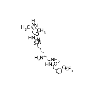 Cc1n[nH]c(C)c1CC(=O)Nc1nnc(CCCC/C(N)=C/C=C(\N)NC(=O)Cc2cccc(OC(F)(F)F)c2)s1